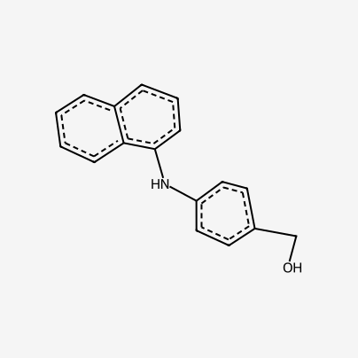 OCc1ccc(Nc2cccc3ccccc23)cc1